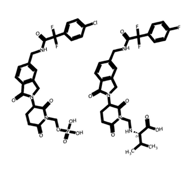 CC(C)[C@H](NCN1C(=O)CCC(N2Cc3cc(CNC(=O)C(F)(F)c4ccc(F)cc4)ccc3C2=O)C1=O)C(=O)O.O=C1CCC(N2Cc3cc(CNC(=O)C(F)(F)c4ccc(Cl)cc4)ccc3C2=O)C(=O)N1COP(=O)(O)O